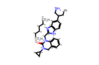 CC(C)CC(CN)c1ccc2[nH]c(CN3C(=O)N(C4CC4)Cc4ccccc43)nc2c1.O=C(O)CCCCC(=O)O